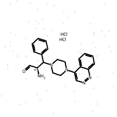 Cl.Cl.N[C@@H](C=O)C(c1ccccc1)N1CCN(c2cnnc3ccccc23)CC1